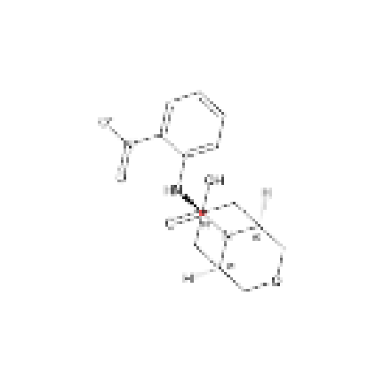 O=C(O)N1[C@@H]2COC[C@H]1C[C@@H](Nc1ccccc1[N+](=O)[O-])C2